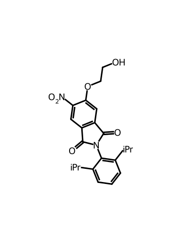 CC(C)c1cccc(C(C)C)c1N1C(=O)c2cc(OCCO)c([N+](=O)[O-])cc2C1=O